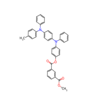 COC(=O)c1cccc(C(=O)Oc2ccc(N(c3ccccc3)c3ccc(N(c4ccccc4)c4ccc(C)cc4)cc3)cc2)c1